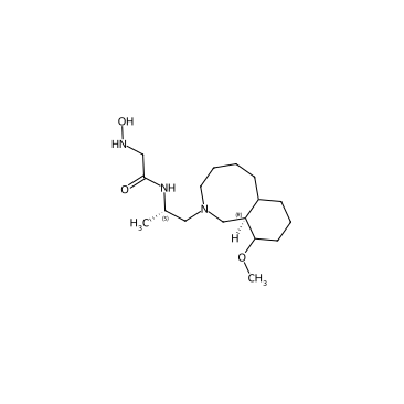 COC1CCCC2CCCCN(C[C@H](C)NC(=O)CNO)C[C@@H]21